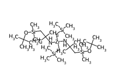 CC(C)(C[Si](C)(C)OC(C)(C)C)[NH][Zr]([CH2][Si](C)(C)C)([CH2][Si](C)(C)C)[NH]C(C)(C)C[Si](C)(C)OC(C)(C)C